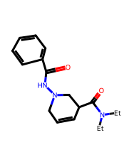 CCN(CC)C(=O)C1C=CCN(NC(=O)c2ccccc2)C1